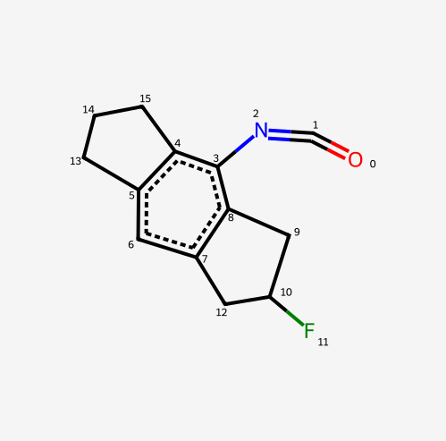 O=C=Nc1c2c(cc3c1CC(F)C3)CCC2